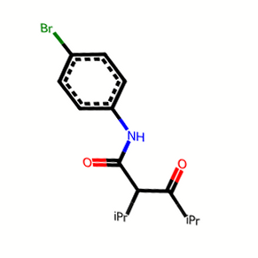 CC(C)C(=O)C(C(=O)Nc1ccc(Br)cc1)C(C)C